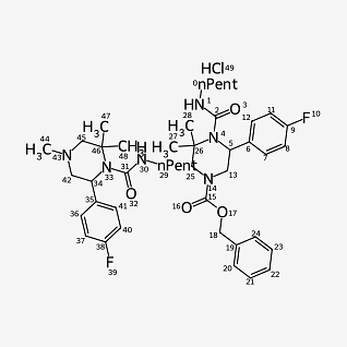 CCCCCNC(=O)N1C(c2ccc(F)cc2)CN(C(=O)OCc2ccccc2)CC1(C)C.CCCCCNC(=O)N1C(c2ccc(F)cc2)CN(C)CC1(C)C.Cl